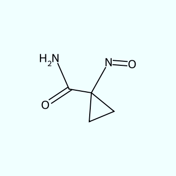 NC(=O)C1(N=O)CC1